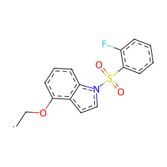 [CH2]COc1cccc2c1ccn2S(=O)(=O)c1ccccc1F